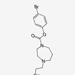 CCCN1CCCN(C(=O)Oc2ccc(Br)cc2)CC1